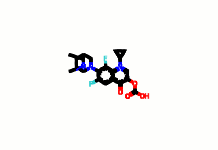 CC1C2CCC(N(c3c(F)cc4c(=O)c(OC(=O)O)cn(C5CC5)c4c3F)C2)N1C